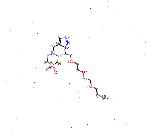 CC(C)(C)CCOCCOCCOCCn1nncc1CN1CCS(=O)(=O)CC1